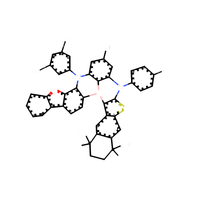 Cc1cc2c3c(c1)N(c1cc(C(C)(C)C)cc(C(C)(C)C)c1)c1c(ccc4c1oc1ccccc14)B3c1c(sc3cc4c(cc13)C(C)(C)CCC4(C)C)N2c1ccc(C(C)(C)C)cc1